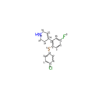 Fc1ccc(Sc2ccc(Cl)cc2)c(C2=CCNCC2)c1